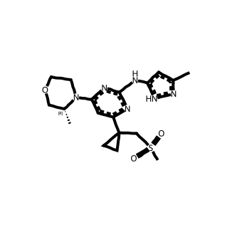 Cc1cc(Nc2nc(N3CCOC[C@H]3C)cc(C3(CS(C)(=O)=O)CC3)n2)[nH]n1